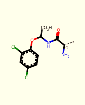 C[C@H](N)C(=O)NC(Oc1ccc(Cl)cc1Cl)C(=O)O